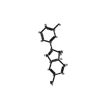 Cc1cc(-c2nc3cc(Br)cnc3[nH]2)ccn1